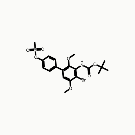 COc1cc(-c2ccc(OS(C)(=O)=O)cc2)c(OC)c(NC(=O)OC(C)(C)C)c1Br